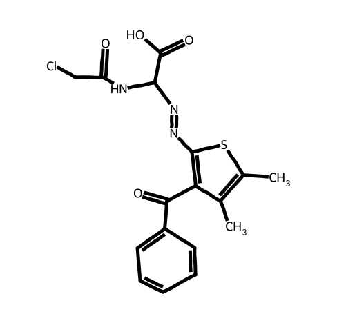 Cc1sc(N=NC(NC(=O)CCl)C(=O)O)c(C(=O)c2ccccc2)c1C